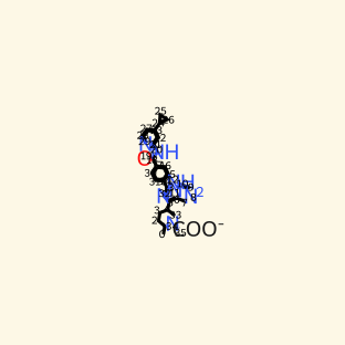 CC1CCC(C2=C3C=NC=C[N+]3(N)C(c3ccc(C(=O)Nc4cc(C5CC5)ccn4)cc3)=N2)CN1C(=O)[O-]